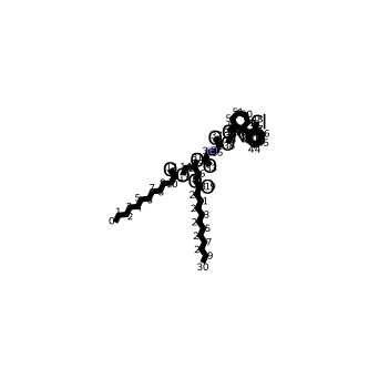 CCCCCCCCCCCC(=O)OCC(COC(=O)CCCCCCCCCCC)OC(=O)/C=C/C(=O)OCN[C@]1(c2ccccc2Cl)CCCCC1=O